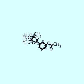 CC(=O)Oc1cccc(B2OC(C)(C)C(C)(C)O2)c1